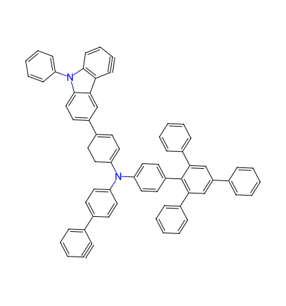 c1cccc(-c2ccc(N(C3=CC=C(c4ccc5c(c4)c4c#cccc4n5-c4ccccc4)CC3)c3ccc(-c4c(-c5ccccc5)cc(-c5ccccc5)cc4-c4ccccc4)cc3)cc2)c#1